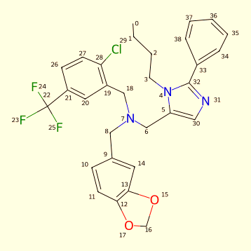 CCCCn1c(CN(Cc2ccc3c(c2)OCO3)Cc2cc(C(F)(F)F)ccc2Cl)cnc1-c1ccccc1